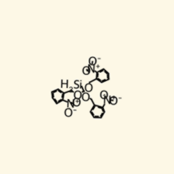 O=[N+]([O-])c1ccccc1COC([SiH3])(OCc1ccccc1[N+](=O)[O-])OCc1ccccc1[N+](=O)[O-]